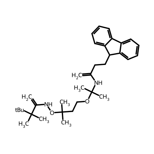 C=C(CCC1c2ccccc2-c2ccccc21)NC(C)(C)OCCC(C)(C)ONC(=C)C(C)(C)C(C)(C)C